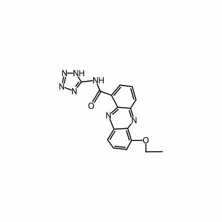 CCOc1cccc2nc3c(C(=O)Nc4nnn[nH]4)cccc3nc12